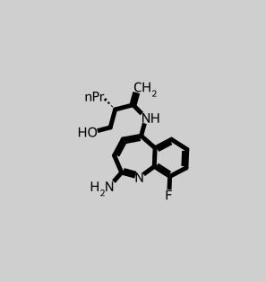 C=C(NC1=C=CC(N)=Nc2c(F)cccc21)[C@H](CO)CCC